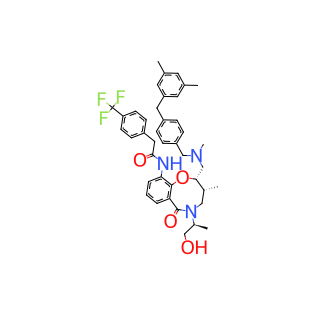 Cc1cc(C)cc(Cc2ccc(CN(C)C[C@H]3Oc4c(NC(=O)Cc5ccc(C(F)(F)F)cc5)cccc4C(=O)N([C@@H](C)CO)C[C@H]3C)cc2)c1